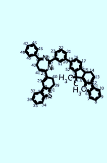 CC1(C)C2=c3oc4ccccc4c3=CCC2c2ccc(-c3cccc(C4=NC(C5=Cc6c(sc7ccccc67)CC5)=CCC(c5ccccc5)=N4)c3)cc21